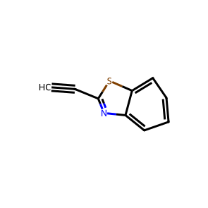 C#Cc1nc2ccccc2s1